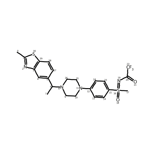 Cc1nc2cc(C(C)N3CCN(c4ccc(S(C)(=O)=NC(=O)C(F)(F)F)cc4)CC3)ccc2s1